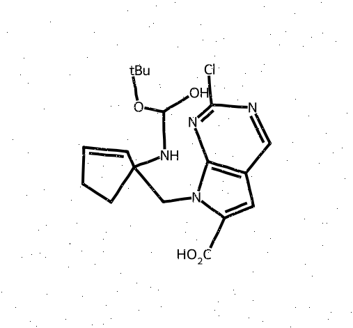 CC(C)(C)OC(O)NC1(Cn2c(C(=O)O)cc3cnc(Cl)nc32)C=CCC1